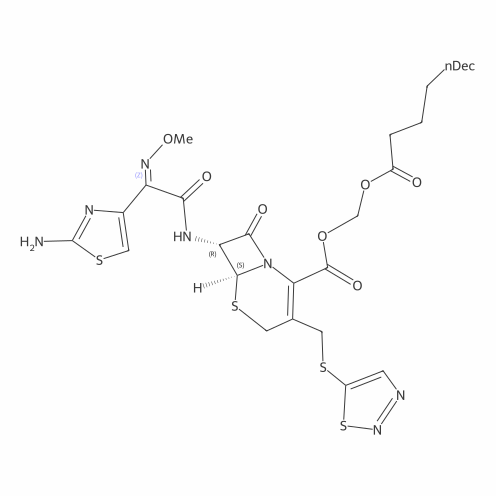 CCCCCCCCCCCCCC(=O)OCOC(=O)C1=C(CSc2cnns2)CS[C@H]2[C@H](NC(=O)/C(=N\OC)c3csc(N)n3)C(=O)N12